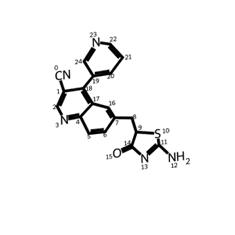 N#Cc1cnc2ccc(CC3SC(N)=NC3=O)cc2c1-c1cccnc1